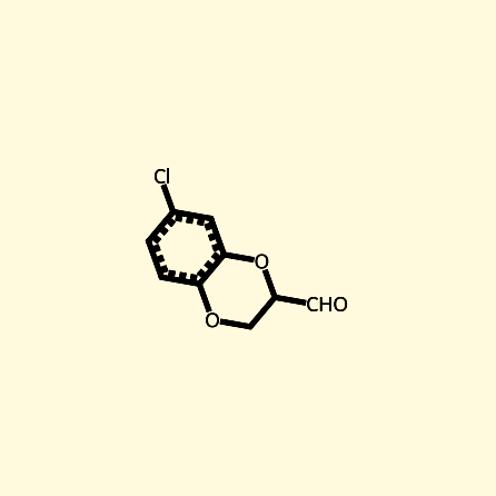 O=CC1COc2ccc(Cl)cc2O1